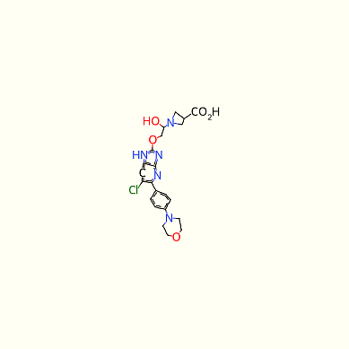 O=C(O)C1CN(C(O)COc2nc3nc(-c4ccc(N5CCOCC5)cc4)c(Cl)cc3[nH]2)C1